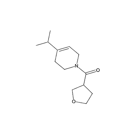 CC(C)C1=CCN(C(=O)C2CCOC2)CC1